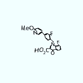 COc1ccc(-c2ccc(Cn3cc(C(=O)O)c(=O)c4cccc(F)c43)c(F)c2)cn1